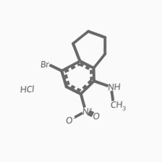 CNc1c([N+](=O)[O-])cc(Br)c2c1CCCC2.Cl